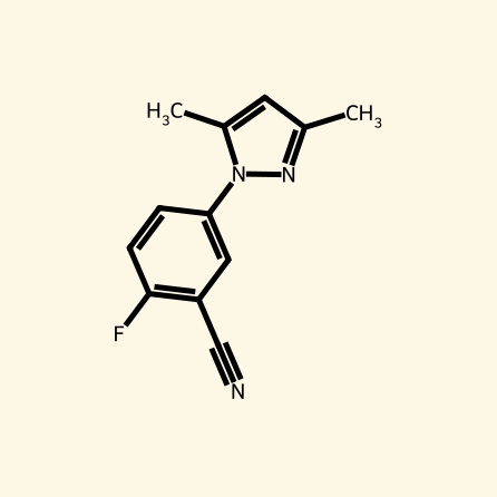 Cc1cc(C)n(-c2ccc(F)c(C#N)c2)n1